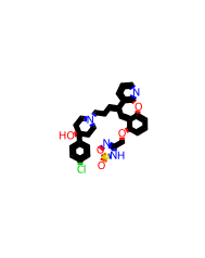 O=S1NC(COC2C=CC=C3Oc4ncccc4C(=CCCN4CCC(O)(c5ccc(Cl)cc5)CC4)C=C32)=NO1